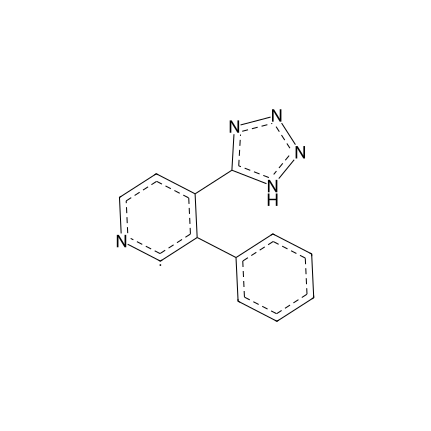 [c]1nccc(-c2nnn[nH]2)c1-c1ccccc1